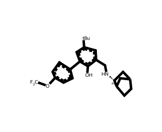 CC(C)(C)c1cc(CN[C@@H]2CC3CCC2C3)c(O)c(-c2ccc(OC(F)(F)F)cc2)c1